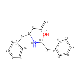 C=CCC(Cc1ccccc1)N[C@H](O)Cc1ccccc1